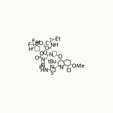 CCC1C[C@]1(NC(=O)[C@@H]1C[C@@H](Oc2cc(-c3csc(NC(C)C)n3)nc3c(Cl)c(OC)ccc23)CN1C(=O)[C@@H](NC(=O)O[C@H]1C[C@@H]2[C@H](C1)C2(F)F)C(C)(C)C)C(=O)O